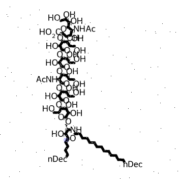 CCCCCCCCCCCCC/C=C/[C@@H](O)[C@H](CO[C@@H]1OC(CO)[C@@H](O[C@@H]2OC(CO)[C@H](O)[C@H](O[C@@H]3OC(CO)[C@@H](O)[C@H](O[C@@H]4OC(CO)[C@H](O)[C@H](O[C@@H]5OC(CO)[C@H](O)[C@H](O[C@]6(C(=O)O)CC(O)[C@@H](NC(C)=O)C([C@H](O)[C@H](O)CO)O6)C5O)C4O)C3NC(C)=O)C2O)[C@H](O)C1O)NC(=O)CCCCCCCCCCCCCCCCCCCCCCC